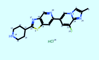 Cc1cn2cc(-c3cc4sc(C5CCNCC5)nc4cn3)cc(F)c2n1.Cl